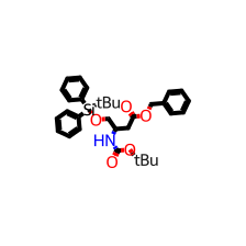 CC(C)(C)OC(=O)NC(CO[Si](c1ccccc1)(c1ccccc1)C(C)(C)C)CC(=O)OCc1ccccc1